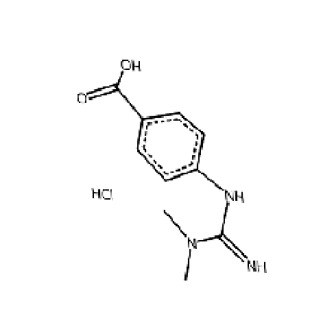 CN(C)C(=N)Nc1ccc(C(=O)O)cc1.Cl